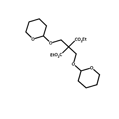 CCOC(=O)C(COC1CCCCO1)(COC1CCCCO1)C(=O)OCC